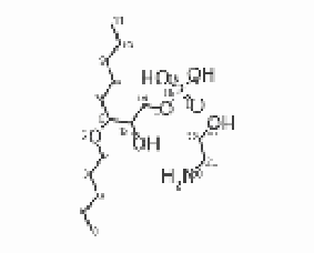 CCCCCOC(CCCCC)C(O)COP(=O)(O)O.NCCO